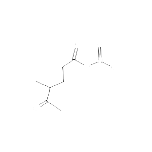 CC(=O)C(C)CCC(=O)O[N+](=O)[O-]